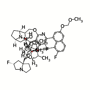 COCOc1cc(-c2nc3c4c(nc(OC[C@@]56CCCN5C[C@H](F)C6)nc4c2F)N2C[C@H]4CC[C@@H]([C@H]2CO3)N4C(=O)OC(C)(C)C)c2c(C#C[Si](C(C)C)(C(C)C)C(C)C)c(F)ccc2c1